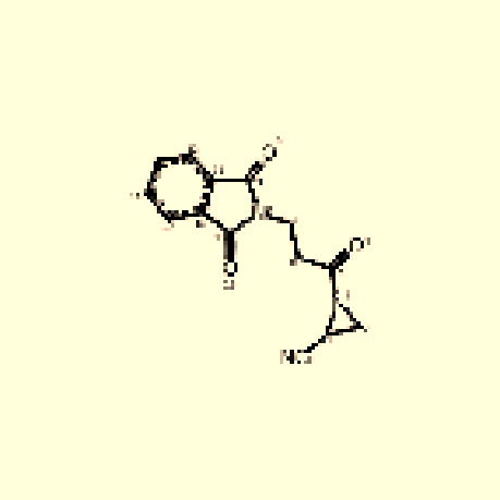 N#CC1CN1C(=O)CCN1C(=O)c2ccccc2C1=O